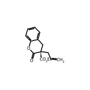 C=CC[C@@]1(C(=O)OCC)Cc2ccccc2OC1=O